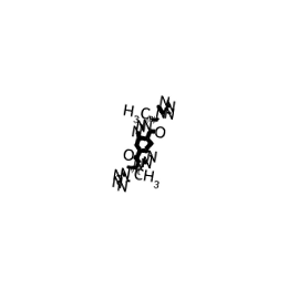 C[C@H](Cn1cnnn1)n1nnc2cc3c(=O)n([C@H](C)Cn4cnnn4)nnc3cc2c1=O